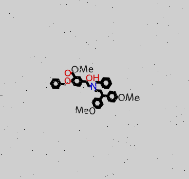 COC(=O)c1cc(C(O)CN(CCC(c2ccc(OC)cc2)c2ccc(OC)cc2)Cc2ccccc2)ccc1OCc1ccccc1